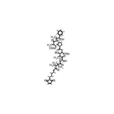 CCC(C)C(C(CC(=O)N1CCC[C@H]1C(OC)C(C)C(=O)NC(C)C(O)c1ccccc1)OC)N(C)C(=O)C(NC(=O)C(C)(C)N(C)C(=O)CCCCCN1C(=O)C=CC1=O)C(C)C